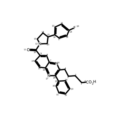 O=C(O)CCCCc1nc2cc(C(=O)N3CCC(c4ccc(F)cc4)C3)ccc2nc1-c1ccccc1